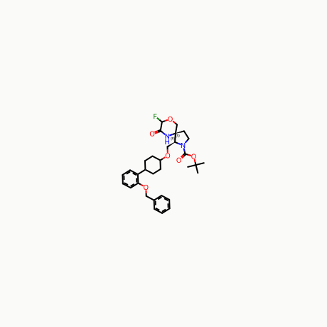 CC(C)(C)OC(=O)N1CC[C@@]2(COC(F)C(=O)N2)[C@@H]1COC1CCC(c2ccccc2OCc2ccccc2)CC1